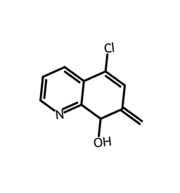 C=C1C=C(Cl)c2cccnc2C1O